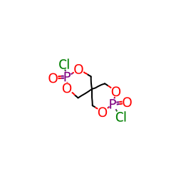 O=P1(Cl)OCC2(CO1)COP(=O)(Cl)OC2